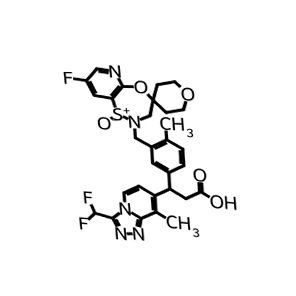 Cc1ccc(C(CC(=O)O)c2ccn3c(C(F)F)nnc3c2C)cc1CN1CC2(CCOCC2)Oc2ncc(F)cc2[S+]1[O-]